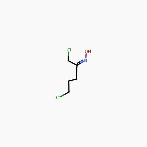 O/N=C(\CCl)CCCCl